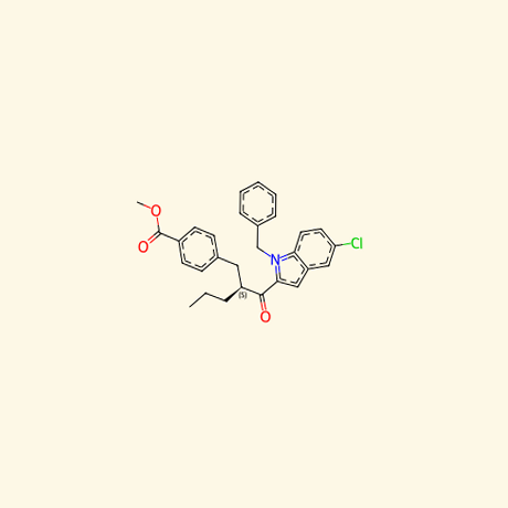 CCC[C@@H](Cc1ccc(C(=O)OC)cc1)C(=O)c1cc2cc(Cl)ccc2n1Cc1ccccc1